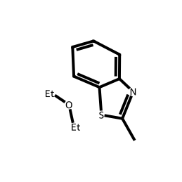 CCOCC.Cc1nc2ccccc2s1